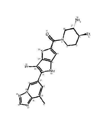 CC[C@H]1CCN(C(=O)c2cc3[nH]c(-c4cc(C)c5ncnn5c4)c(C(C)C)c3s2)C[C@@H]1N